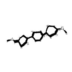 COC=C1CCC(C2CCC(C3CCC(OC)CC3)CC2)CC1